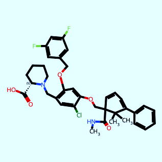 CNC(=O)C1(COc2cc(OCc3cc(F)cc(F)c3)c(CN3CCCC[C@H]3C(=O)O)cc2Cl)C=CC=C(c2ccccc2)C1(C)C